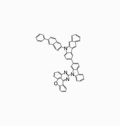 c1ccc(-c2ccc3cc(-n4c5ccc(-c6ccc7c8ccccc8n(-c8nc9c%10c(cccc%10n8)Oc8ccccc8-9)c7c6)cc5c5cc6ccccc6cc54)ccc3c2)cc1